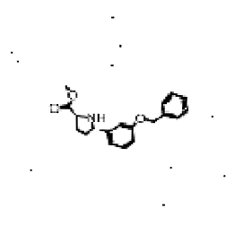 COC(=O)[C@@H]1CC[C@H](c2cccc(OCc3ccccc3)c2)N1